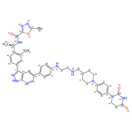 Cc1cc(-c2n[nH]c3ncc(-c4ccc(NCCNCC5CCN(c6ccc(N7CCC(=O)NC7=O)cc6)CC5)cc4)cc23)ccc1[C@@H](C)NC(=O)c1nnc(C(C)(C)C)o1